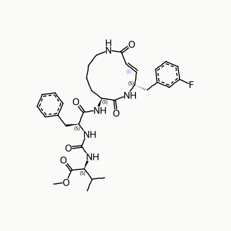 COC(=O)[C@@H](NC(=O)N[C@@H](Cc1ccccc1)C(=O)N[C@H]1CCCCNC(=O)/C=C/[C@H](Cc2cccc(F)c2)NC1=O)C(C)C